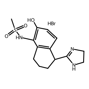 Br.CS(=O)(=O)Nc1c(O)ccc2c1CCCC2C1=NCCN1